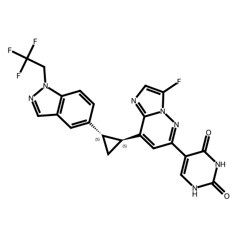 O=c1[nH]cc(-c2cc([C@H]3C[C@@H]3c3ccc4c(cnn4CC(F)(F)F)c3)c3ncc(F)n3n2)c(=O)[nH]1